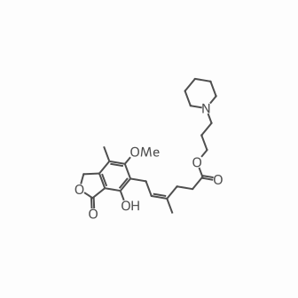 COc1c(C)c2c(c(O)c1CC=C(C)CCC(=O)OCCCN1CCCCC1)C(=O)OC2